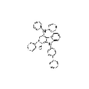 c1ccc(-c2ccc(-n3c4ccccc4c4c(N(c5ccccc5)c5ccccc5)cc5c6ccccc6oc5c43)cc2)cc1